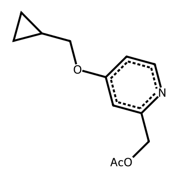 CC(=O)OCc1cc(OCC2CC2)ccn1